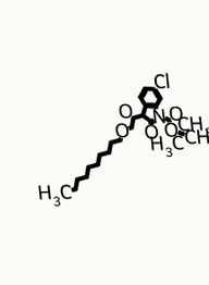 CCCCCCCCCCOCC(=O)C1C(=O)N(C(=O)OC(C)(C)C)c2cc(Cl)ccc21